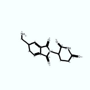 NCC1C=C2C(=O)N(C3CCC(=O)NC3=O)C(=O)C2=CC1